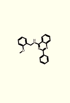 COc1ccccc1CNc1nc(-c2ccccc2)nc2ccccc12